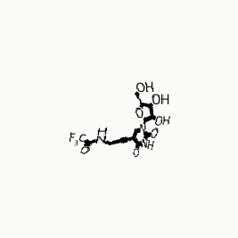 O=C(NCC#Cc1cn([C@H]2O[C@@H](CO)C(O)C2O)c(=O)[nH]c1=O)C(F)(F)F